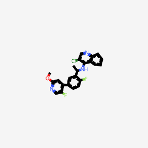 COc1cc(-c2ccc(F)c(C(C)Nc3c(Cl)cnc4ccccc34)c2)c(F)cn1